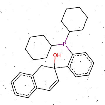 OC1(c2ccccc2P(C2CCCCC2)C2CCCCC2)C=Cc2ccccc2C1